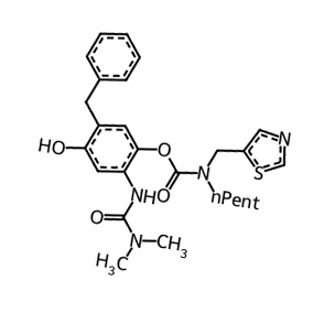 CCCCCN(Cc1cncs1)C(=O)Oc1cc(Cc2ccccc2)c(O)cc1NC(=O)N(C)C